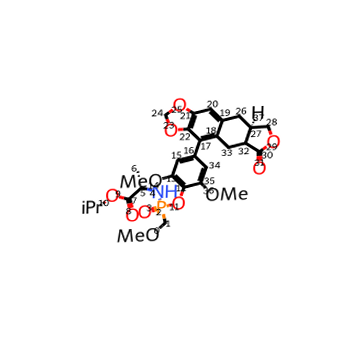 COCP(=O)(N[C@@H](C)C(=O)OC(C)C)Oc1c(OC)cc(-c2c3c(cc4c2OCO4)C[C@H]2COC(=O)C2C3)cc1OC